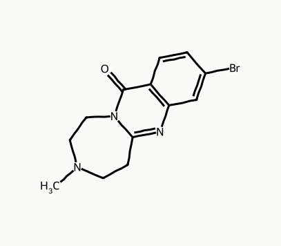 CN1CCc2nc3cc(Br)ccc3c(=O)n2CC1